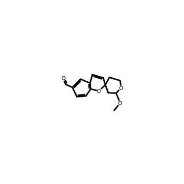 COC1CC2(C=Cc3cc(C=O)ccc3O2)CCO1